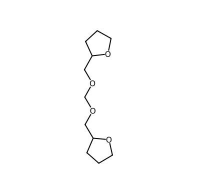 C1COC(COCOCC2CCCO2)C1